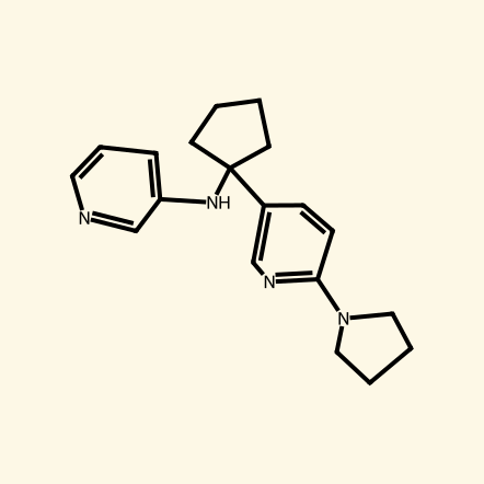 c1cncc(NC2(c3ccc(N4CCCC4)nc3)CCCC2)c1